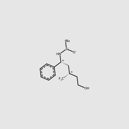 CC(C)(C)[S+]([O-])N[C@H](C[C@H](CCO)C(F)(F)F)c1ccccc1